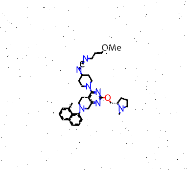 COCCCN=C=NC1CCN(c2nc(OC[C@@H]3CCCN3C)nc3c2CCN(c2cccc4cccc(C)c24)C3)CC1